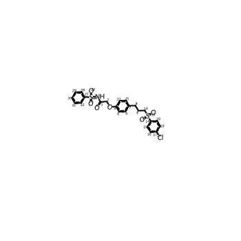 O=C(COc1ccc(CCCS(=O)(=O)c2ccc(Cl)cc2)cc1)NS(=O)(=O)c1ccccc1